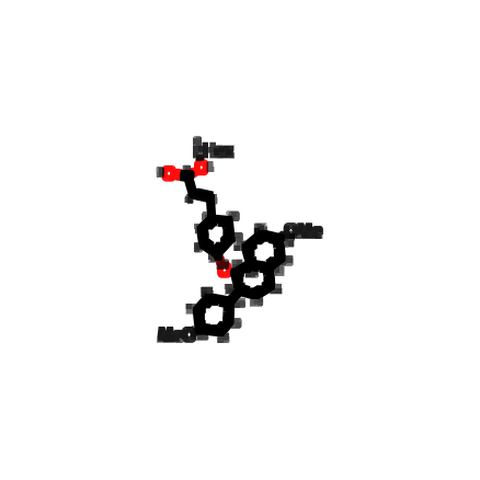 CCCCCCOC(=O)C=Cc1ccc(Oc2c(-c3ccc(OC)cc3)ccc3cc(OC)ccc23)cc1